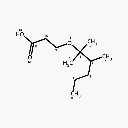 CCCC(C)C(C)(C)OCCC(=O)O